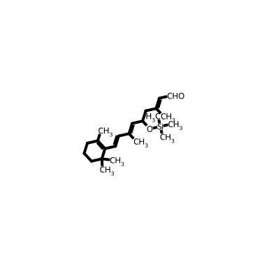 CC1=C(/C=C/C(C)=C/C(C/C(C)=C/C=O)O[Si](C)(C)C)C(C)(C)CCC1